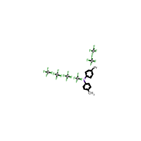 Cc1ccc([I+]c2ccc(C(C)C)cc2)cc1.F[B-](F)(F)F.F[B-](F)(F)F.F[B-](F)(F)F.F[B-](F)(F)F.F[B-](F)(F)F.F[B-](F)(F)F